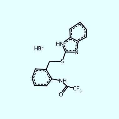 Br.O=C(Nc1ccccc1CSc1nc2ccccc2[nH]1)C(F)(F)F